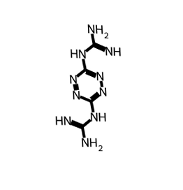 N=C(N)Nc1nnc(NC(=N)N)nn1